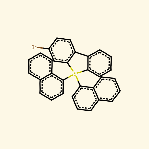 Brc1ccc2c(c1)S(c1cccc3ccccc13)(c1cccc3ccccc13)c1ccccc1-2